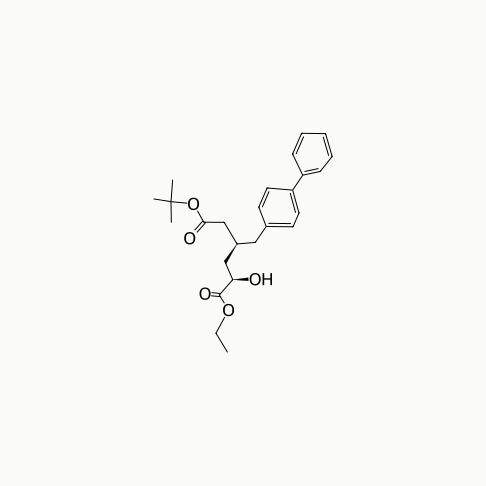 CCOC(=O)[C@H](O)C[C@@H](CC(=O)OC(C)(C)C)Cc1ccc(-c2ccccc2)cc1